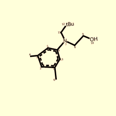 Cc1cc(C)cc(N(CCO)CC(C)(C)C)c1